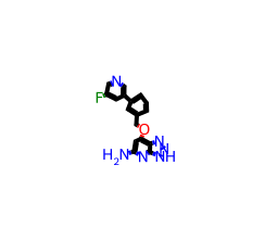 Nc1cc(OCc2cccc(-c3cncc(F)c3)c2)c2nn[nH]c2n1